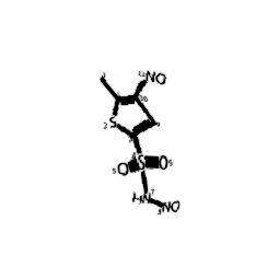 Cc1sc(S(=O)(=O)NN=O)cc1N=O